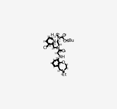 CCN1CCOc2c(cccc2NCC(=O)N(CCN(C)C(=O)OC(C)(C)C)Cc2ncccc2Cl)C1